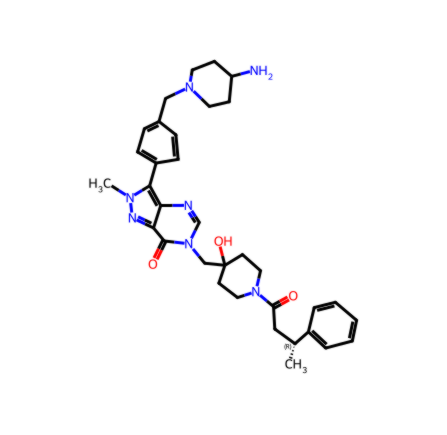 C[C@H](CC(=O)N1CCC(O)(Cn2cnc3c(-c4ccc(CN5CCC(N)CC5)cc4)n(C)nc3c2=O)CC1)c1ccccc1